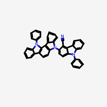 N#Cc1c(-n2c3ccccc3c3c2ccc2c4ccccc4n(-c4ccccc4)c23)ccc2c1c1ccccc1n2-c1ccccc1